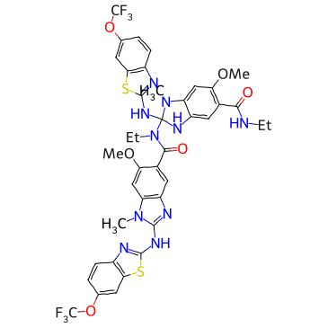 CCNC(=O)c1cc2c(cc1OC)N(C)C(Nc1nc3ccc(OC(F)(F)F)cc3s1)(N(CC)C(=O)c1cc3nc(Nc4nc5ccc(OC(F)(F)F)cc5s4)n(C)c3cc1OC)N2